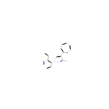 C=Cc1c(-n2cc(C3=CC(F)=CC=CC3)c(C)n2)ccnc1N